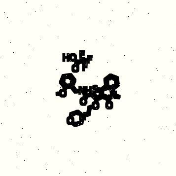 COc1ccccc1CNC(=O)c1sc2c(c1OCCN1CCOCC1)c(=O)n(C)c1ccccc21.O=C(O)C(F)(F)F